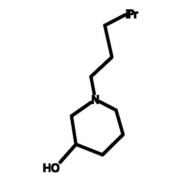 CC(C)CCCN1CCCC(O)C1